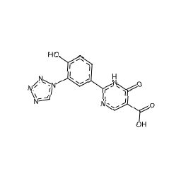 O=C(O)c1cnc(-c2ccc(O)c(-n3cnnn3)c2)[nH]c1=O